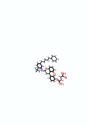 CC(C)(C)c1ccc(CCCCCC2CCCCC2)cc1NC(=O)CC1c2ccccc2Oc2ccccc21.O=C(O)CCC(=O)O